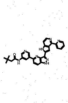 CC(C)(C)CC(=O)Nc1cncc(-c2ccc3[nH]nc(-c4cc5c(-c6ccccn6)nccc5[nH]4)c3n2)c1